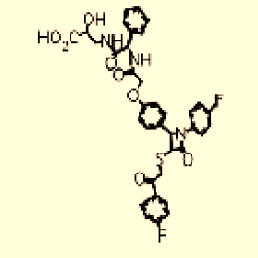 O=C(COc1ccc(C2C(SCC(=O)c3ccc(F)cc3)C(=O)N2c2ccc(F)cc2)cc1)N[C@@H](C(=O)NC[C@H](O)C(=O)O)c1ccccc1